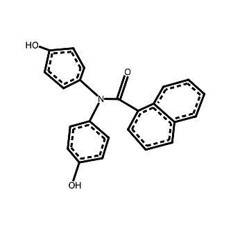 O=C(c1cccc2ccccc12)N(c1ccc(O)cc1)c1ccc(O)cc1